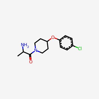 CC(N)C(=O)N1CCC(Oc2ccc(Cl)cc2)CC1